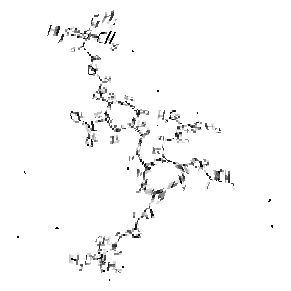 CCOc1cc(OCOCC[Si](C)(C)C)cc(/C=C/c2ccc(OCOCC[Si](C)(C)C)c([N+](=O)[O-])c2)c1CC=C(C)C